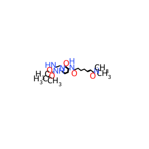 CN(C)C(=O)/C=C/CCCC(=O)Nc1cccn(CC(=N)NC(=O)OC(C)(C)C)c1=O